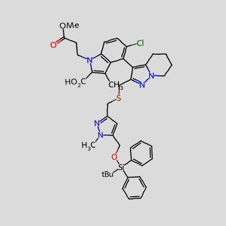 COC(=O)CCn1c(C(=O)O)c(C)c2c(-c3c(CSCc4cc(CO[Si](c5ccccc5)(c5ccccc5)C(C)(C)C)n(C)n4)nn4c3CCCC4)c(Cl)ccc21